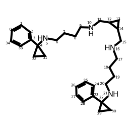 c1ccc(C2(NCCCCNCC3CC3CNCCCCNC3(c4ccccc4)CC3)CC2)cc1